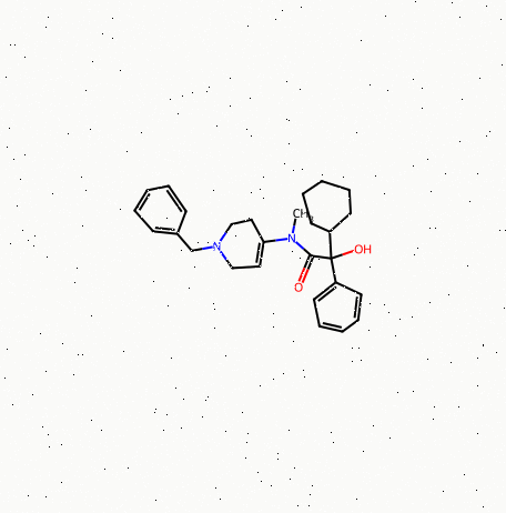 CN(C(=O)C(O)(c1ccccc1)C1CCCCC1)C1=CCN(Cc2ccccc2)CC1